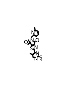 CSc1ncc(C)c(-c2nc3c(s2)C2(COC2)N(Cc2cccc(C)n2)C3=O)n1